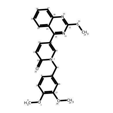 COc1ccc(Cn2cc(-c3nc(SC)nc4ccccc34)ccc2=O)cc1OC